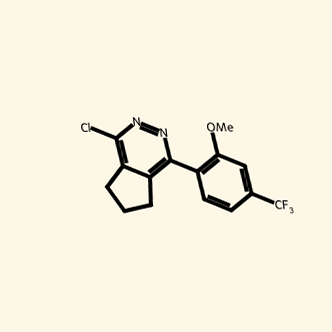 COc1cc(C(F)(F)F)ccc1-c1nnc(Cl)c2c1CCC2